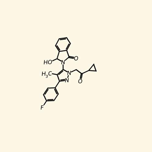 Cc1c(-c2ccc(F)cc2)nn(CC(=O)C2CC2)c1N1C(=O)c2ccccc2C1O